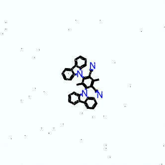 Cc1c(C#N)c(-n2c3ccccc3c3ccccc32)c(C)c(-n2c3ccccc3c3ccccc32)c1C#N